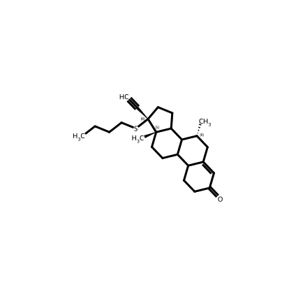 C#C[C@@]1(SCCCC)CCC2C3C(CC[C@@]21C)C1CCC(=O)C=C1C[C@H]3C